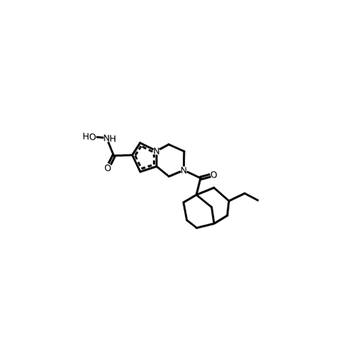 CCC1CC2CCCC(C(=O)N3CCn4cc(C(=O)NO)cc4C3)(C1)C2